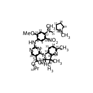 [2H]C1([2H])N(c2nc(Nc3cc([N+](=O)[O-])c(N(C)C[C@@H]4CCCN4C)cc3OC)ncc2C(=O)OC(C)C)c2ccc(C)nc2C1(C)C